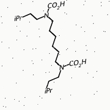 CC(C)CCN(CCCCCCN(CCC(C)C)C(=O)O)C(=O)O